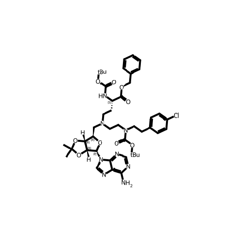 CC(C)(C)OC(=O)N[C@@H](CCN(CCN(CCc1ccc(Cl)cc1)C(=O)OC(C)(C)C)C[C@H]1O[C@@H](n2cnc3c(N)ncnc32)[C@@H]2OC(C)(C)O[C@@H]21)C(=O)OCc1ccccc1